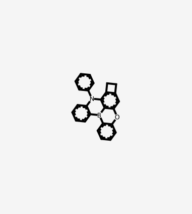 c1ccc(N2c3ccccc3B3c4ccccc4Oc4cc5c(c2c43)CC5)cc1